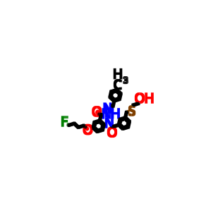 Cc1ccc(/C=N/NC(=O)c2cc(OCCCCF)ccc2NC(=O)c2cccc(CSCCO)c2)cc1